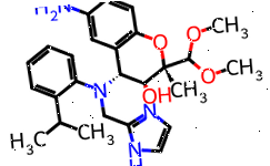 COC(OC)[C@@]1(C)Oc2ccc(N)cc2[C@@H](N(Cc2ncc[nH]2)c2ccccc2C(C)C)[C@@H]1O